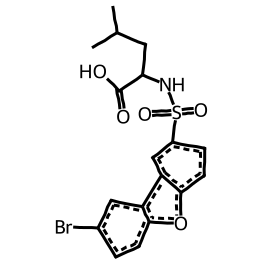 CC(C)CC(NS(=O)(=O)c1ccc2oc3ccc(Br)cc3c2c1)C(=O)O